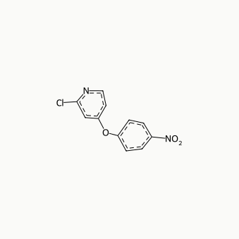 O=[N+]([O-])c1ccc(Oc2ccnc(Cl)c2)cc1